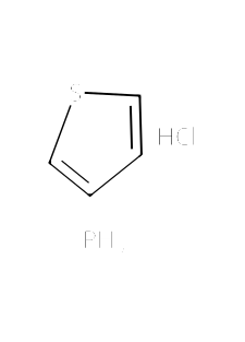 Cl.P.c1ccsc1